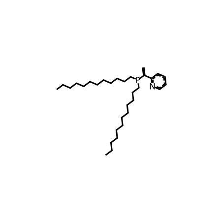 C=C(c1ccccn1)P(CCCCCCCCCCCC)CCCCCCCCCCCC